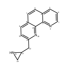 c1cnc2c(c1)ccc1ccc(CC3CN3)nc12